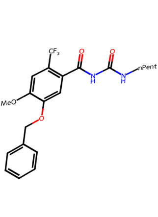 CCCCCNC(=O)NC(=O)c1cc(OCc2ccccc2)c(OC)cc1C(F)(F)F